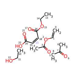 C=COC(C)=O.CC(C)=O.CCO.CCOC(=O)/C=C\C(=O)O